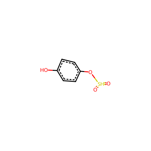 O=[SH](=O)Oc1ccc(O)cc1